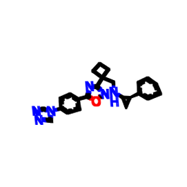 c1ccc([C@H]2CC2NCC2(c3noc(-c4ccc(-n5cnnc5)cc4)n3)CCC2)cc1